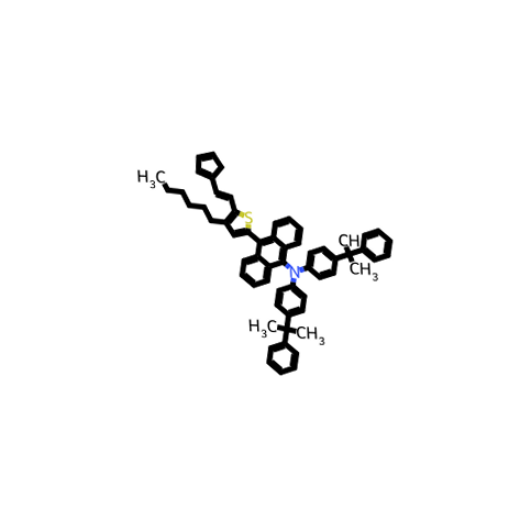 CCCCCCc1cc(-c2c3ccccc3c(N(c3ccc(C(C)(C)c4ccccc4)cc3)c3ccc(C(C)(C)c4ccccc4)cc3)c3ccccc23)sc1/C=C/C1=CC=CC1